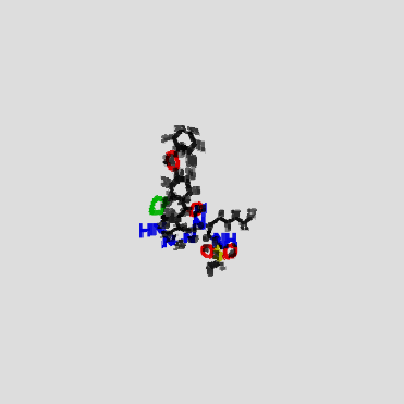 C=CS(=O)(=O)NCC(CCCCC)Nc1ncnc2[nH]cc(C(=O)c3ccc(Oc4ccccc4)cc3Cl)c12